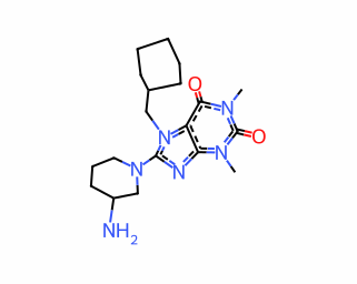 Cn1c(=O)c2c(nc(N3CCCC(N)C3)n2CC2CCCCC2)n(C)c1=O